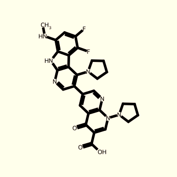 CNc1cc(F)c(F)c2c1[nH]c1ncc(-c3cnc4c(c3)c(=O)c(C(=O)O)cn4N3CCCC3)c(N3CCCC3)c12